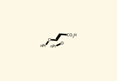 C[CH]COC=CC(=O)O.C[CH]C[O]